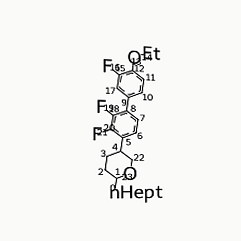 CCCCCCCC1CCC(c2ccc(-c3ccc(OCC)c(F)c3)c(F)c2F)CO1